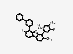 Cc1ccc2c(oc3c(-c4cccc(-c5ccccc5)c4)c(F)ccc32)c1-c1cc(F)c(C(C)(C)C)c[n+]1C